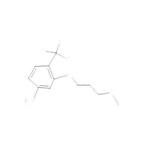 Bc1ccc(C(F)(F)F)c(OCCCOC)c1